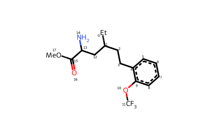 CCC(CCc1ccccc1OC(F)(F)F)CC(N)C(=O)OC